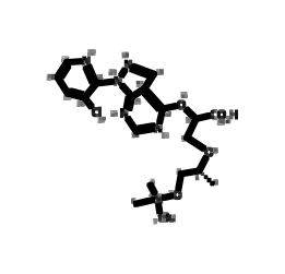 C[C@H](CO[Si](C)(C)C(C)(C)C)OCC(Oc1ncnc2c1cnn2-c1ncccc1Cl)C(=O)O